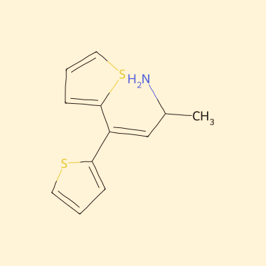 CC(N)C=C(c1cccs1)c1cccs1